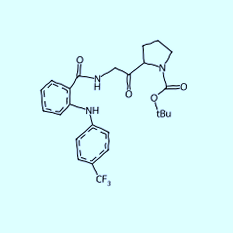 CC(C)(C)OC(=O)N1CCCC1C(=O)CNC(=O)c1ccccc1Nc1ccc(C(F)(F)F)cc1